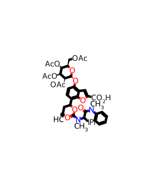 C#CCC(OC(=O)N(C)C(C(=O)N(C)c1ccccc1)C(C)C)c1ccc(O[C@@H]2O[C@H](COC(C)=O)[C@H](OC(C)=O)[C@H](OC(C)=O)[C@H]2OC(C)=O)c2cc(C(=O)O)oc12